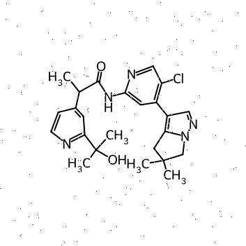 CC(C(=O)Nc1cc(-c2cnn3c2CC(C)(C)C3)c(Cl)cn1)c1ccnc(C(C)(C)O)c1